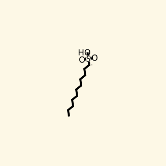 CCCCCCCCCC[CH]S(=O)(=O)O